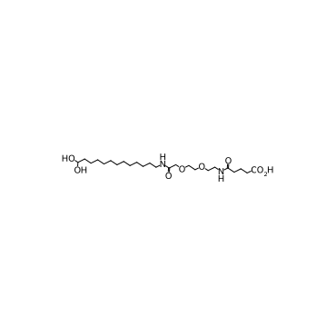 O=C(O)CCCC(=O)NCCOCCOCC(=O)NCCCCCCCCCCCCC(O)O